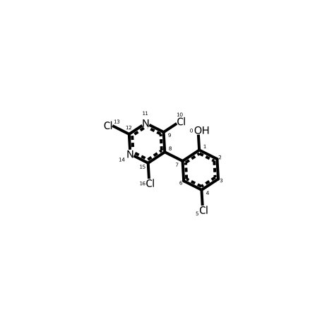 Oc1ccc(Cl)cc1-c1c(Cl)nc(Cl)nc1Cl